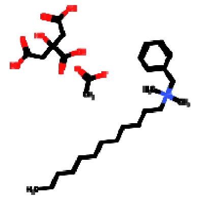 CC(=O)[O-].CCCCCCCCCCCC[N+](C)(C)Cc1ccccc1.O=C(O)CC(O)(CC(=O)O)C(=O)O